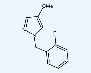 COc1cnn(Cc2ccccc2F)c1